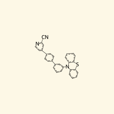 N#Cc1cc(-c2ccc(-c3cccc(N4c5ccccc5Sc5ccccc54)c3)cc2)ccn1